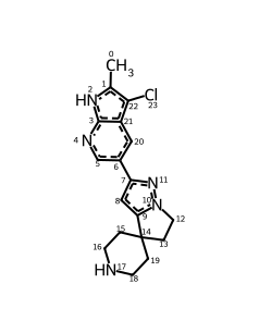 Cc1[nH]c2ncc(-c3cc4n(n3)CCC43CCNCC3)cc2c1Cl